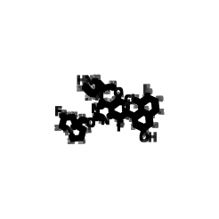 Oc1cc(-c2nc3c4c(nc(OCC56CCCN5CC(F)C6)nc4c2F)N2C4=CNC(C4)C2CO3)c2c(Cl)c(F)ccc2c1